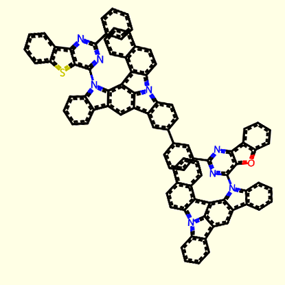 c1ccc(-c2nc(-n3c4ccccc4c4cc5c6cc(-c7cccc(-c8nc(-n9c%10ccccc%10c%10cc%11c%12ccccc%12n%12c%13ccc%14ccccc%14c%13c(c%109)c%11%12)c9oc%10ccccc%10c9n8)c7)ccc6n6c7ccc8ccccc8c7c(c43)c56)c3sc4ccccc4c3n2)cc1